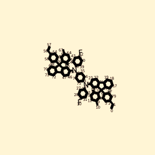 C=Cc1ccc(C2(c3cc(C)ccc3C)c3ccccc3-c3ccc(N(c4ccc(F)cc4)c4ccc(N(c5ccc(F)cc5)c5ccc6c(c5)C(c5ccc(C=C)cc5)(c5cc(C)ccc5C)c5ccccc5-6)cc4)cc32)cc1